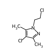 Cc1nn(CCCl)c(C)c1Cl